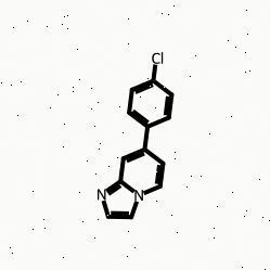 Clc1ccc(-c2ccn3ccnc3c2)cc1